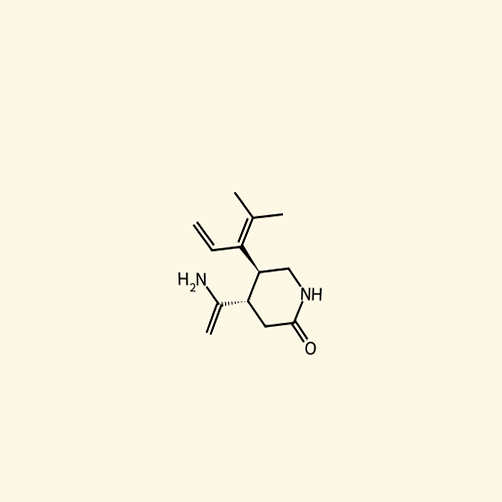 C=CC(=C(C)C)[C@H]1CNC(=O)C[C@@H]1C(=C)N